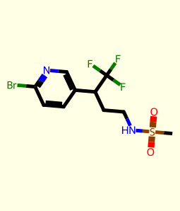 CS(=O)(=O)NCCC(c1ccc(Br)nc1)C(F)(F)F